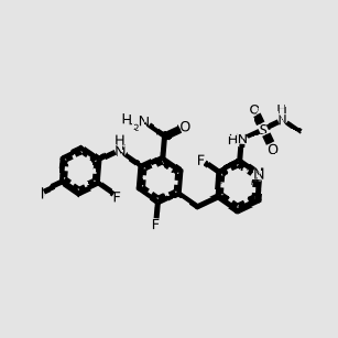 CNS(=O)(=O)Nc1nccc(Cc2cc(C(N)=O)c(Nc3ccc(I)cc3F)cc2F)c1F